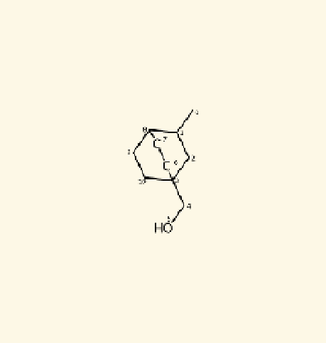 CC1CC2(CO)CCC1CC2